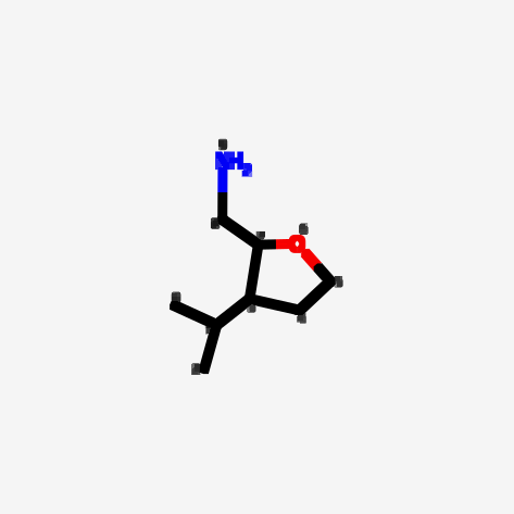 CC(C)C1CCOC1CN